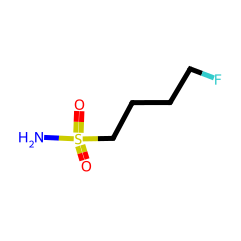 NS(=O)(=O)CCCCF